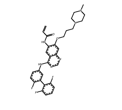 C=CC(=O)Nc1cc2c(Nc3ccc(F)c(-c4c(F)cccc4F)c3)ncnc2cc1OCCCN1CCN(C)CC1